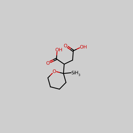 O=C(O)CC(C(=O)O)C1([SiH3])CCCCO1